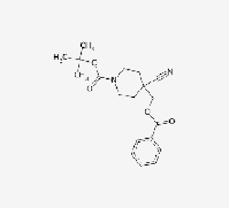 CC(C)(C)OC(=O)N1CCC(C#N)(COC(=O)c2ccccc2)CC1